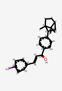 CC1(C)C2CCC1(C)C(c1ccc(C(=O)/C=C/c3ccc(I)cc3)cc1)C2